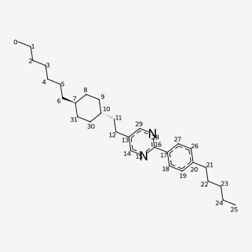 CCCCCCC[C@H]1CC[C@H](CCc2cnc(-c3ccc(CCCCC)cc3)nc2)CC1